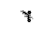 N[C@H](CC1CCCCC1)C(O)C(=O)N(NCCCC(=O)O)c1ccccc1